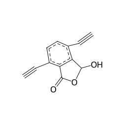 C#Cc1ccc(C#C)c2c1C(=O)OC2O